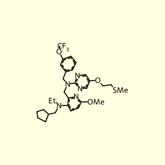 CCN(CC1CCCC1)c1ccc(OC)nc1CN(Cc1cccc(OC(F)(F)F)c1)c1ncc(OCCSC)cn1